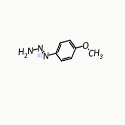 COc1ccc(/N=N/N)cc1